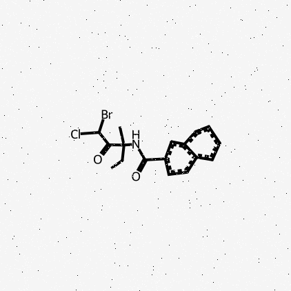 CCC(C)(NC(=O)c1ccc2ccccc2c1)C(=O)C(Cl)Br